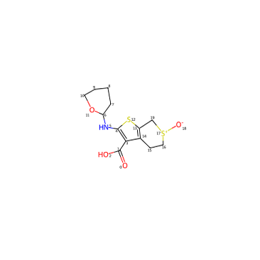 O=C(O)c1c(NC2CCCCO2)sc2c1CC[S+]([O-])C2